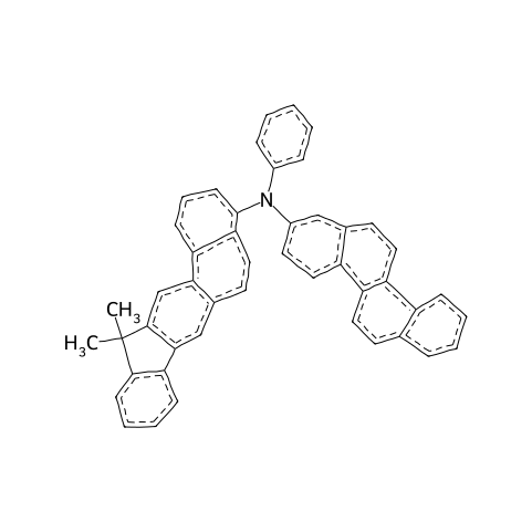 CC1(C)c2ccccc2-c2cc3ccc4c(N(c5ccccc5)c5ccc6c(ccc7c8ccccc8ccc67)c5)cccc4c3cc21